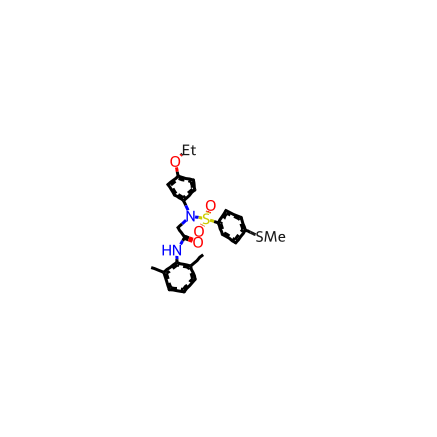 CCOc1ccc(N(CC(=O)Nc2c(C)cccc2C)S(=O)(=O)c2ccc(SC)cc2)cc1